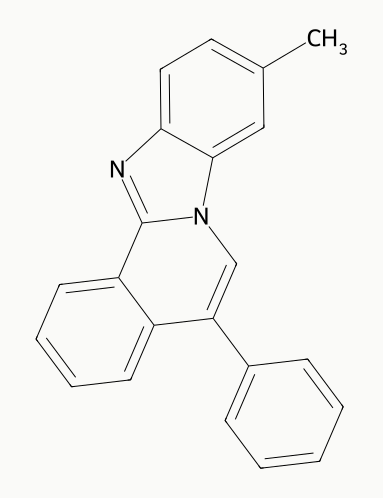 Cc1ccc2nc3c4ccccc4c(-c4ccccc4)cn3c2c1